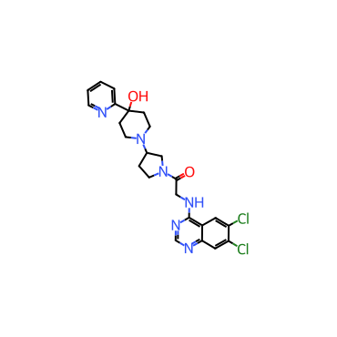 O=C(CNc1ncnc2cc(Cl)c(Cl)cc12)N1CCC(N2CCC(O)(c3ccccn3)CC2)C1